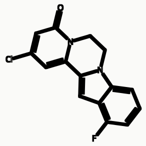 O=c1cc(Cl)cc2n1CCn1c-2cc2c(F)cccc21